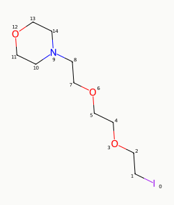 ICCOCCOCCN1CCOCC1